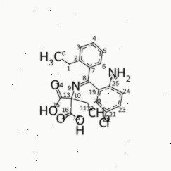 CCc1ccccc1C(=NC(CC)(C(=O)O)C(=O)O)c1cc(Cl)ccc1N